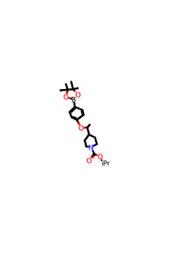 CC(C)OC(=O)N1CCC(C(C)Oc2ccc(B3OC(C)(C)C(C)(C)O3)cc2)CC1